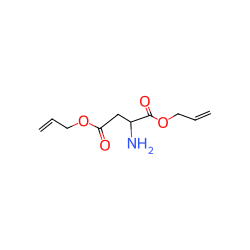 C=CCOC(=O)CC(N)C(=O)OCC=C